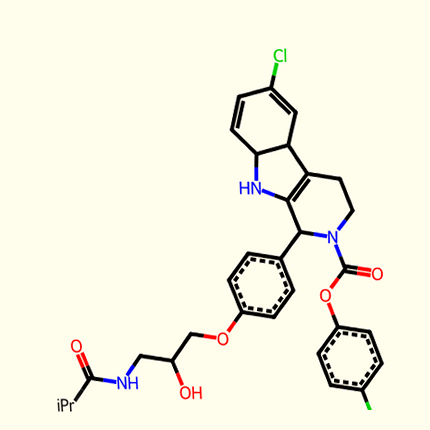 CC(C)C(=O)NCC(O)COc1ccc(C2C3=C(CCN2C(=O)Oc2ccc(Cl)cc2)C2C=C(Cl)C=CC2N3)cc1